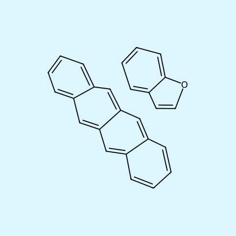 c1ccc2cc3cc4ccccc4cc3cc2c1.c1ccc2occc2c1